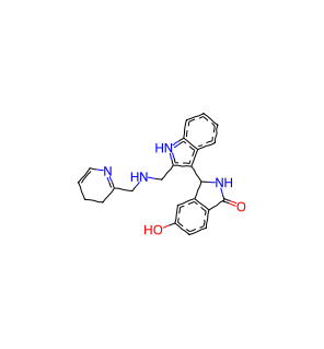 O=C1NC(c2c(CNCC3=NC=CCC3)[nH]c3ccccc23)c2cc(O)ccc21